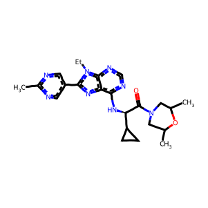 CCn1c(-c2cnc(C)nc2)nc2c(N[C@@H](C(=O)N3CC(C)OC(C)C3)C3CC3)ncnc21